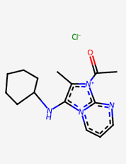 CC(=O)[n+]1c(C)c(NC2CCCCC2)n2cccnc21.[Cl-]